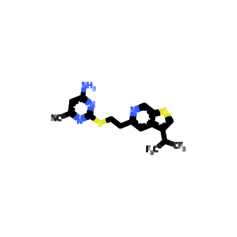 N#Cc1cc(N)nc(SCCc2cc3c(C(C(F)(F)F)C(F)(F)F)csc3cn2)n1